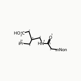 CCCCCCCCCCC(=O)NCC(CC(=O)O)CC(C)C